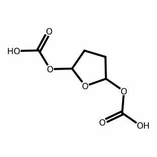 O=C(O)OC1CCC(OC(=O)O)O1